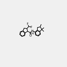 CC1Cc2c(NC(=O)C3c4ccccc4CC3C(F)F)cccc2C1(C)C